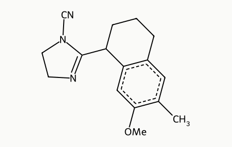 COc1cc2c(cc1C)CCCC2C1=NCCN1C#N